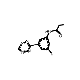 CCC(=O)Nc1cc(F)cc(-c2nncnn2)c1